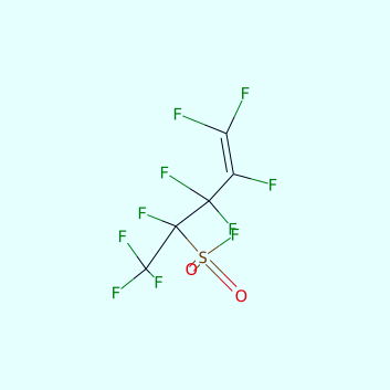 O=S(=O)(F)C(F)(C(F)(F)F)C(F)(F)C(F)=C(F)F